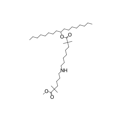 CCCCCCCCC(CCCCCCCC)OC(=O)C(C)(C)CCCCCCNCCCCC(C)(C)C(=O)OC